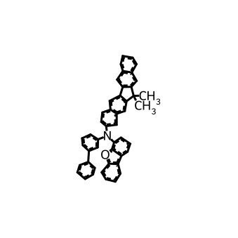 CC1(C)c2cc3ccccc3cc2-c2cc3ccc(N(c4cccc(-c5ccccc5)c4)c4cccc5c4oc4ccccc45)cc3cc21